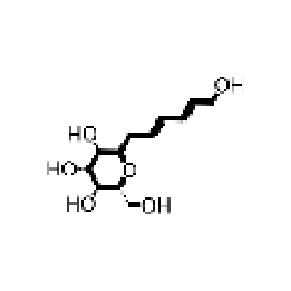 OC/C=C/C=C/CC1O[C@H](CO)[C@@H](O)[C@H](O)[C@H]1O